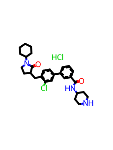 Cl.O=C(NC1CCNCC1)c1cccc(-c2ccc(CC3CCN(C4CCCCC4)C3=O)c(Cl)c2)c1